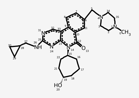 CN1CCN(Cc2ccc3c(c2)c(=O)n([C@H]2CCC[C@H](O)CC2)c2nc(NCC4CC4)ncc32)CC1